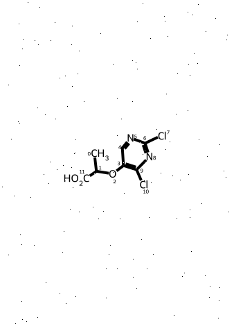 CC(Oc1cnc(Cl)nc1Cl)C(=O)O